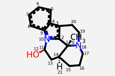 C[C@]12c3c4c5ccccc5n3[C@H](O)C[C@@H]1CCCN2CC4